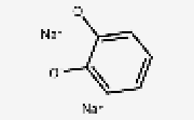 [Na+].[Na+].[O-]c1ccccc1[O-]